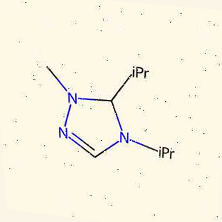 CC(C)C1N(C)N=CN1C(C)C